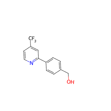 OCc1ccc(-c2cc(C(F)(F)F)ccn2)cc1